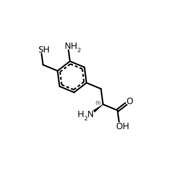 Nc1cc(C[C@H](N)C(=O)O)ccc1CS